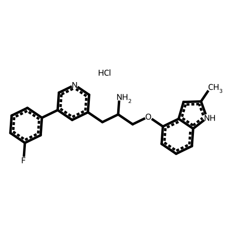 Cc1cc2c(OCC(N)Cc3cncc(-c4cccc(F)c4)c3)cccc2[nH]1.Cl